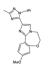 COc1ccc2c(c1)OCCn1cc(-c3nc(C)nn3C(C)C)nc1-2